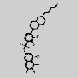 CCCCCC1CCC2CC(c3ccc(C(F)(F)Oc4cc(Cl)c5c(F)c(F)c(F)cc5c4)c(Cl)c3F)CCC2C1